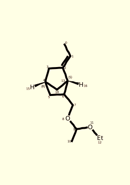 CC=C1C[C@H]2CC(COC(C)OCC)[C@@H]1C2